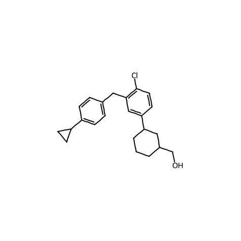 OCC1CCCC(c2ccc(Cl)c(Cc3ccc(C4CC4)cc3)c2)C1